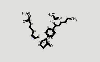 CCCCCC(OC(C)=O)c1ccc([C@H]2C(=O)CC[C@@H]2C/C=C\CCCC(=O)OC)cc1